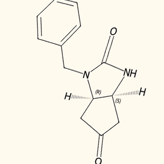 O=C1C[C@@H]2NC(=O)N(Cc3ccccc3)[C@@H]2C1